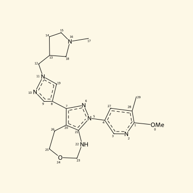 COc1ncc(-n2nc(-c3cnn(CC4CCN(C)C4)c3)c3c2NCOCC3)cc1C